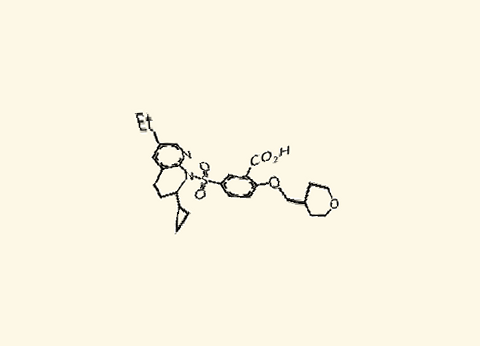 CCc1cnc2c(c1)CCC(C1CC1)N2S(=O)(=O)c1ccc(OCC2CCOCC2)c(C(=O)O)c1